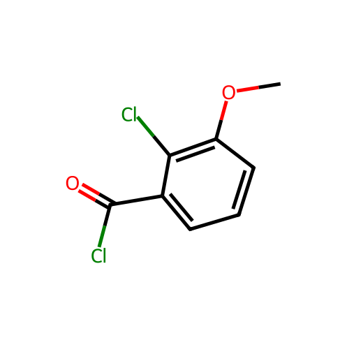 COc1cccc(C(=O)Cl)c1Cl